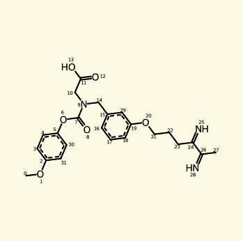 COc1ccc(OC(=O)N(CC(=O)O)Cc2cccc(OCCCC(=N)C(C)=N)c2)cc1